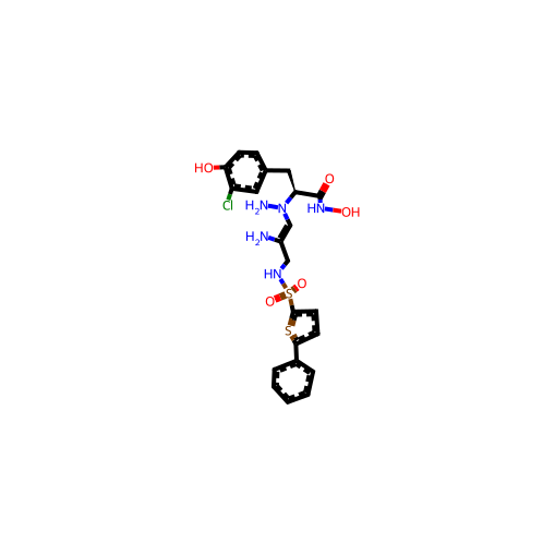 N/C(=C\N(N)[C@@H](Cc1ccc(O)c(Cl)c1)C(=O)NO)CNS(=O)(=O)c1ccc(-c2ccccc2)s1